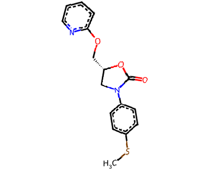 CSc1ccc(N2C[C@H](COc3ccccn3)OC2=O)cc1